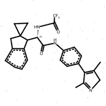 CC1=NCC(C)=C1c1ccc(NC(=O)[C@@H](NC(=O)C(F)(F)F)C2c3ccccc3CC23CC3)cc1